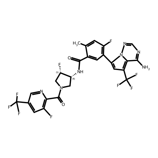 Cc1cc(F)c(-c2cc(C(F)(F)F)c3c(N)ncnn23)cc1C(=O)N[C@@H]1CN(C(=O)c2ncc(C(F)(F)F)cc2F)C[C@@H]1F